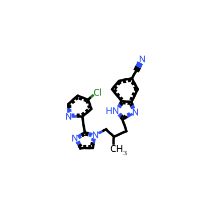 CC(Cc1nc2cc(C#N)ccc2[nH]1)Cn1ccnc1-c1cc(Cl)ccn1